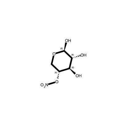 O=[N+]([O-])O[C@@H]1CO[C@@H](O)[C@H](O)[C@H]1O